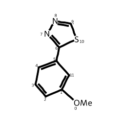 COc1cccc(-c2nn[c]s2)c1